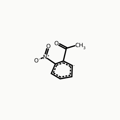 CC(=O)c1[c]cccc1[N+](=O)[O-]